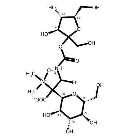 CCC(NC(=O)OC1(CO)O[C@H](CO)[C@@H](O)[C@@H]1O)C(C(=O)[O-])([C@H]1O[C@H](CO)[C@@H](O)[C@H](O)[C@H]1O)[N+](C)(C)C